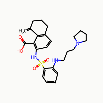 C=C1CCCc2ccc(NS(=O)(=O)c3ccccc3NCCCN3CCCC3)c(C(=O)O)c21